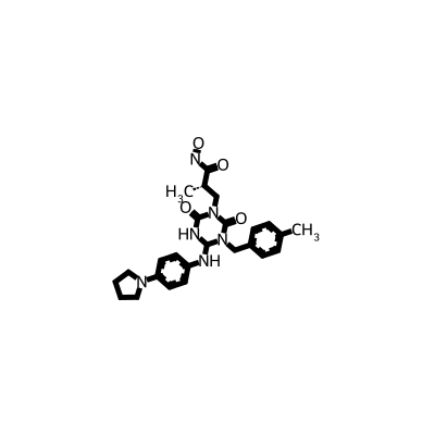 Cc1ccc(CN2C(=O)N(C[C@H](C)C(=O)N=O)C(=O)NC2Nc2ccc(N3CCCC3)cc2)cc1